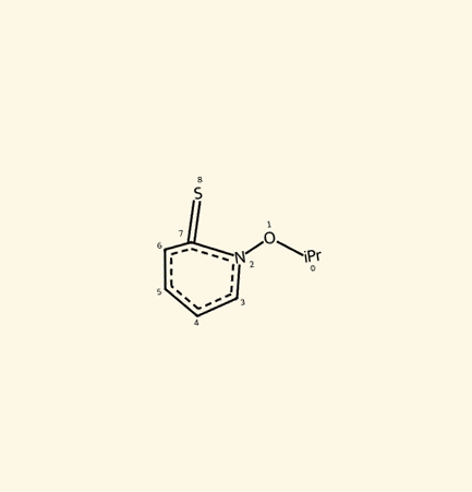 CC(C)On1ccccc1=S